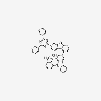 CC1(C)c2ccccc2-n2c3ccccc3c3cc(-c4cccc5oc6cc(-c7nc(-c8ccccc8)nc(-c8ccccc8)n7)ccc6c45)cc1c32